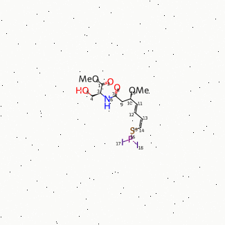 COC(=O)[C@H](CO)NC(=O)C[C@H](/C=C/C=C\SP(I)I)OC